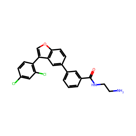 NCCNC(=O)c1cccc(-c2ccc3occ(-c4ccc(Cl)cc4Cl)c3c2)c1